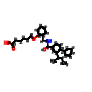 CCC(C)c1cc(C(=O)NCc2ccccc2OCCCCCC(=O)O)ccc1-c1ccccc1